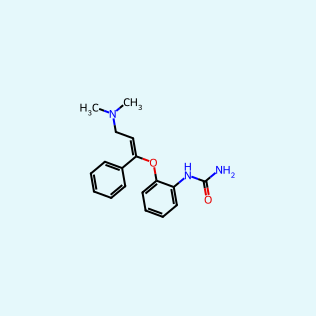 CN(C)CC=C(Oc1ccccc1NC(N)=O)c1ccccc1